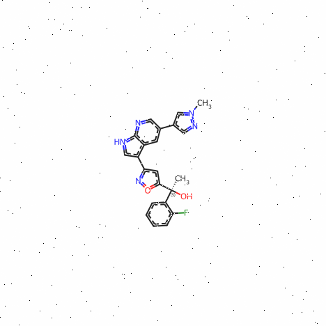 Cn1cc(-c2cnc3[nH]cc(-c4cc([C@@](C)(O)c5ccccc5F)on4)c3c2)cn1